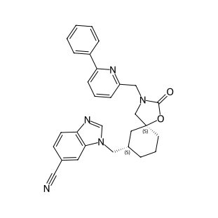 N#Cc1ccc2ncn(C[C@H]3CCC[C@]4(C3)CN(Cc3cccc(-c5ccccc5)n3)C(=O)O4)c2c1